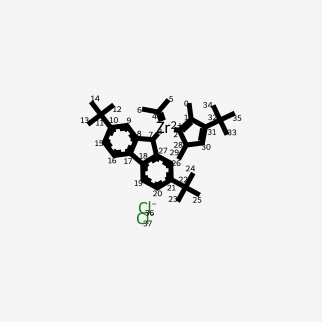 CC1=[C]([Zr+2](=[C](C)C)[CH]2c3cc(C(C)(C)C)ccc3-c3ccc(C(C)(C)C)cc32)C(C)C=C1C(C)(C)C.[Cl-].[Cl-]